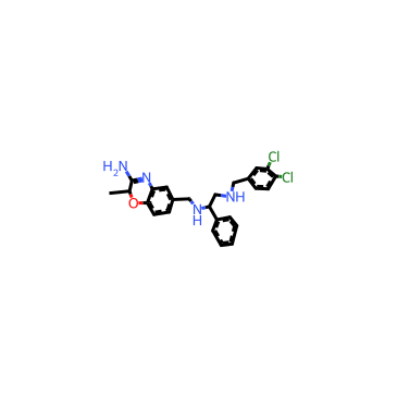 CC1Oc2ccc(CNC(CNCc3ccc(Cl)c(Cl)c3)c3ccccc3)cc2N=C1N